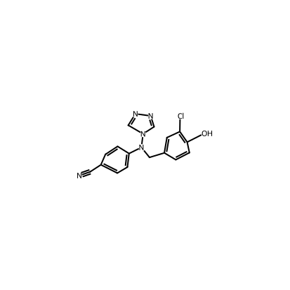 N#Cc1ccc(N(Cc2ccc(O)c(Cl)c2)n2cnnc2)cc1